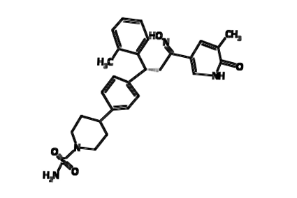 Cc1ccccc1[C@H](C/C(=N\O)c1c[nH]c(=O)c(C)c1)c1ccc(C2CCN(S(N)(=O)=O)CC2)cc1